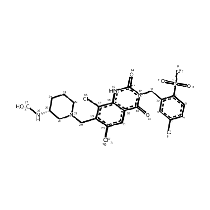 CCCS(=O)(=O)c1ccc(Cl)cc1Cn1c(=O)[nH]c2c(Cl)c(CN3CCC[C@@H](NC(=O)O)C3)c(C(F)(F)F)cc2c1=O